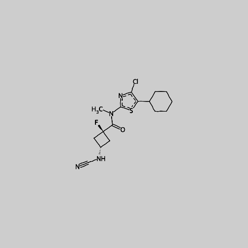 CN(c1nc(Cl)c(C2CCCCC2)s1)C(=O)[C@]1(F)C[C@H](NC#N)C1